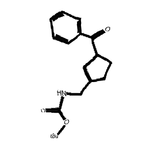 CC(C)(C)OC(=O)NCC1CCC(C(=O)c2ccccc2)C1